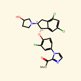 COC(=O)c1nccn1-c1ccc(O[C@H]2c3cc(Cl)cc(Cl)c3C[C@@H]2N2CCC(O)C2)c(F)c1